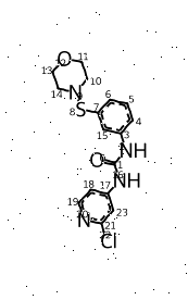 O=C(Nc1cccc(SN2CCOCC2)c1)Nc1ccnc(Cl)c1